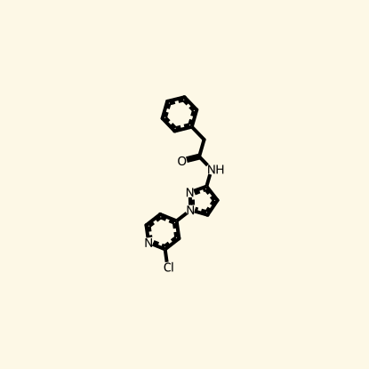 O=C(Cc1ccccc1)Nc1ccn(-c2ccnc(Cl)c2)n1